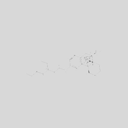 CCCCC(CC)CCOc1ccc2c(c1)[C@@]13CCCC[C@H]1[C@@H](C2)NCC3